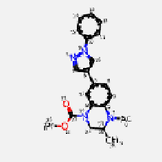 CC(=O)N1c2ccc(-c3cnn(-c4ccccc4)c3)cc2N(C(=O)OC(C)C)C[C@@H]1C